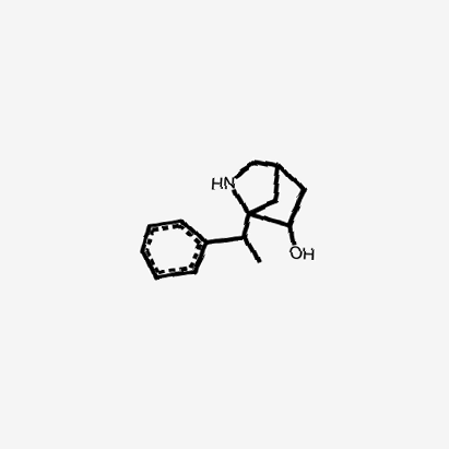 CC(c1ccccc1)C12CC(CN1)CC2O